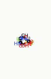 C[C@@H](C(=O)Nc1nc2cc3c(cc2s1)OC(F)(F)O3)N1CCC(F)(F)[C@@H](c2c[nH]c(=O)c([C@H](O)CO)c2)C1